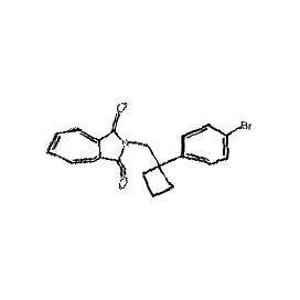 O=C1c2ccccc2C(=O)N1CC1(c2ccc(Br)cc2)CCC1